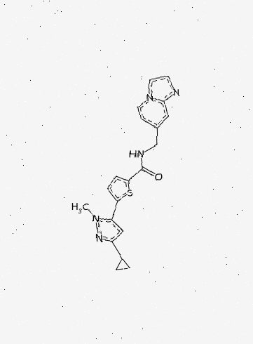 Cn1nc(C2CC2)cc1-c1ccc(C(=O)NCc2ccn3ccnc3c2)s1